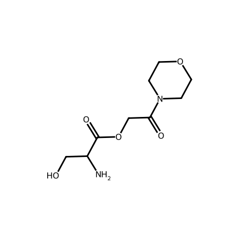 NC(CO)C(=O)OCC(=O)N1CCOCC1